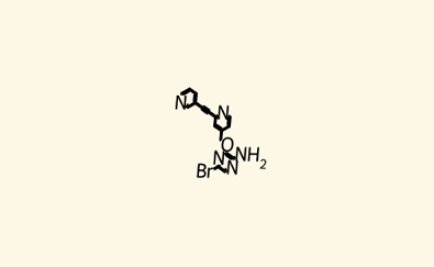 Nc1ncc(Br)nc1OCc1ccnc(C#Cc2cccnc2)c1